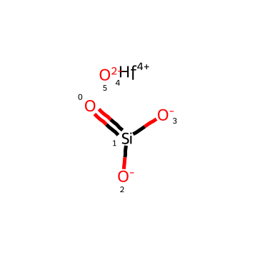 O=[Si]([O-])[O-].[Hf+4].[O-2]